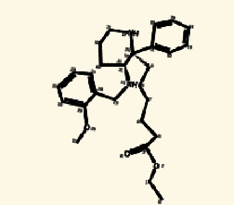 CCOC(=O)CCCCC[C@@]1(c2ccccc2)NCCC[C@@H]1NCc1ccccc1OC